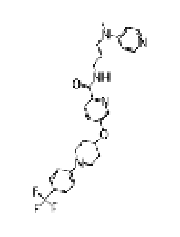 CN(CCCNC(=O)c1ccc(OC2CCN(c3ccc(C(F)(F)F)cc3)CC2)cn1)c1ccncc1